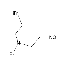 CCN(CCN=O)CCC(C)C